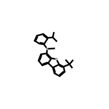 CC(C)c1ccccc1N(I)c1cccc2c1oc1c(C(C)(C)C)cccc12